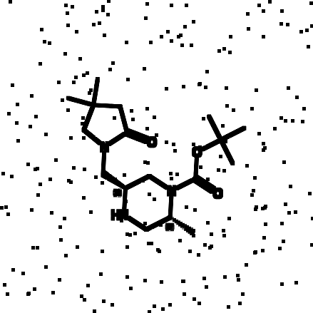 C[C@@H]1CN[C@@H](CN2CC(C)(C)CC2=O)CN1C(=O)OC(C)(C)C